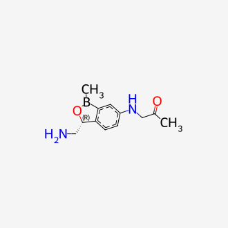 CB1O[C@@H](CN)c2ccc(NCC(C)=O)cc21